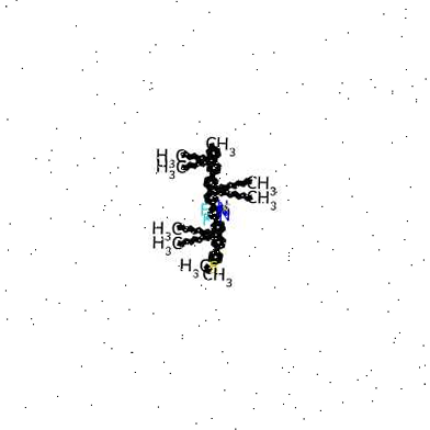 CCCCCCCCC1(CCCCCCCC)c2cc(-c3ccc(SC(C)C)cc3)ccc2-c2ccc(-c3c(F)c(F)c(-c4ccc5c(c4)C(CCCCCCCC)(CCCCCCCC)c4cc(-c6ccc7c(c6)C(CCCCCC)(CCCCCC)c6cc(C)ccc6-7)ccc4-5)c4nsnc34)cc21